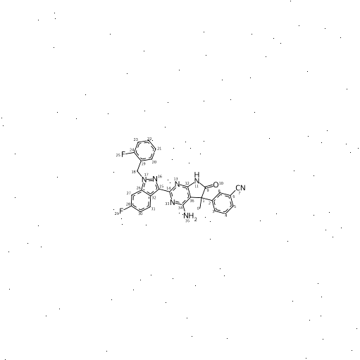 CC1(c2cccc(C#N)c2)C(=O)Nc2nc(-c3nn(Cc4ccccc4F)c4cc(F)ccc34)nc(N)c21